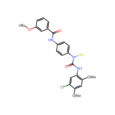 CCCCOc1cccc(C(=O)Nc2ccc(N(S)C(=O)Nc3cc(Cl)c(OC)cc3OC)cc2)c1